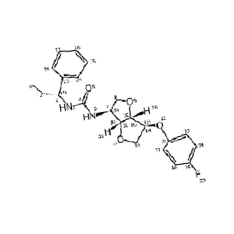 CC[C@@H](NC(=O)N[C@H]1CO[C@H]2[C@@H]1OC[C@@H]2Oc1ccc(F)cc1)c1ccccc1